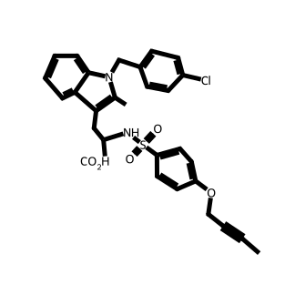 CC#CCOc1ccc(S(=O)(=O)NC(Cc2c(C)n(Cc3ccc(Cl)cc3)c3ccccc23)C(=O)O)cc1